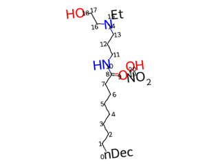 CCCCCCCCCCCCCCCCCC(=O)NCCCN(CC)CCO.O=[N+]([O-])O